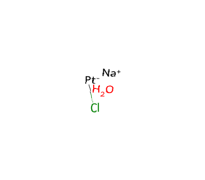 O.[Cl][Pt-].[Na+]